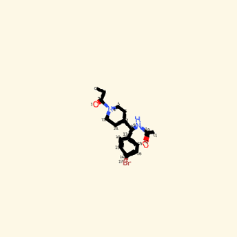 CCC(=O)N1CCC(C(NC(C)=O)c2ccc(Br)cc2)CC1